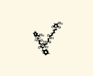 CC(C)(C)C(=O)C1(OCNC(=O)CNC(=O)[C@H](Cc2ccccc2)NC(=O)CNC(=O)CNC(=O)CCCCCN2C(=O)CC(C(C)(C)C)C2=O)CCCC1